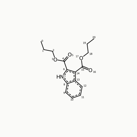 CCCOC(=O)c1[nH]c2ccccc2c1C(=O)OCCC